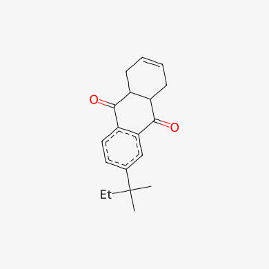 CCC(C)(C)c1ccc2c(c1)C(=O)C1CC=CCC1C2=O